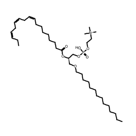 CC/C=C\C/C=C\C/C=C\CCCCCCCC(=O)O[C@H](COCCCCCCCCCCCCCC)COP(=O)(O)OCC[N+](C)(C)C